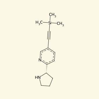 C[Si](C)(C)C#Cc1ccc([C@@H]2CCCN2)nc1